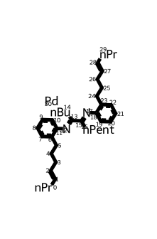 CCC/C=C/CCCc1ccccc1/N=C(CCCC)/C(CCCCC)=N/c1ccccc1CCC/C=C/CCC.[Pd]